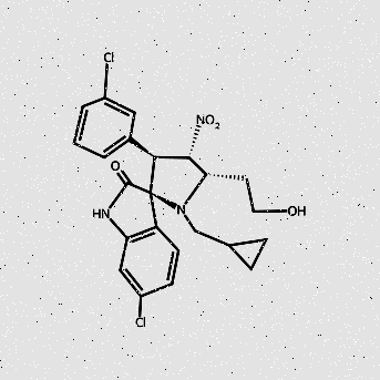 O=C1Nc2cc(Cl)ccc2[C@@]12[C@@H](c1cccc(Cl)c1)[C@H]([N+](=O)[O-])[C@H](CCO)N2CC1CC1